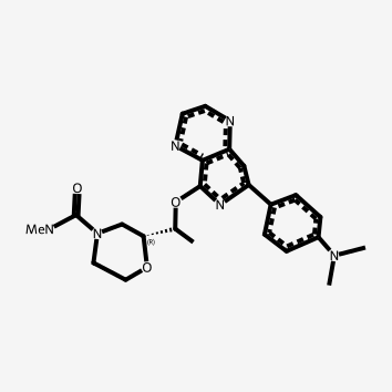 CNC(=O)N1CCO[C@@H](C(C)Oc2nc(-c3ccc(N(C)C)cc3)cc3nccnc23)C1